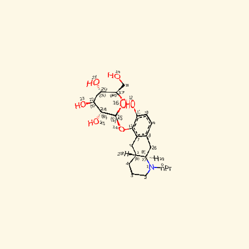 CCCN1CCC[C@@H]2Cc3c(ccc(O)c3O[C@@H]3O[C@H](CO)[C@@H](O)[C@H](O)[C@H]3O)C[C@H]21